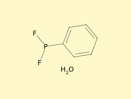 FP(F)c1ccccc1.O